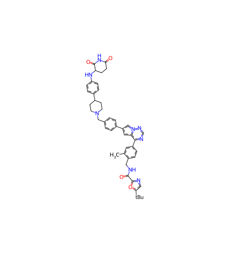 Cc1cc(-c2ncnn3cc(-c4ccc(CN5CCC(c6ccc(NC7CCC(=O)NC7=O)cc6)CC5)cc4)cc23)ccc1CNC(=O)c1ncc(C(C)(C)C)o1